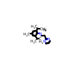 Cc1cc(C(C)C)c(N=CCc2ncccn2)c(C(C)C)c1.[Ni]